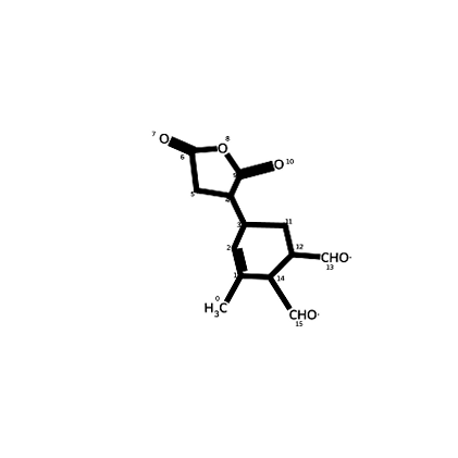 CC1=CC(C2CC(=O)OC2=O)CC([C]=O)C1[C]=O